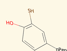 CCCCCc1ccc(O)c(S)c1